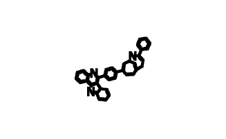 C1=CC2=Nc3c(c(-c4ccc(C5=CC6=NC(c7ccccc7)=CCC(=C6)C=C5)cc4)nc4ccccc34)C2C=C1